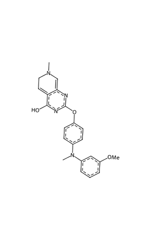 COc1cccc(N(C)c2ccc(Oc3nc(O)c4c(n3)=CN(C)CC=4)cc2)c1